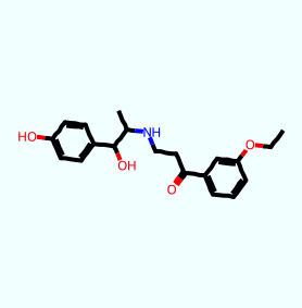 CCOc1cccc(C(=O)CCNC(C)C(O)c2ccc(O)cc2)c1